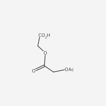 CC(=O)OCC(=O)OCC(=O)O